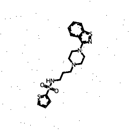 O=S(=O)(NCCCN1CCN(c2nsc3ccccc23)CC1)c1cccs1